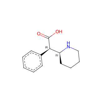 O=C(O)[C@H](c1ccccc1)[C@@H]1CCCCN1